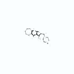 CN1CCN(C(=O)c2sc3nc4c(c(C(F)(F)F)c3c2N)CCCCC4)CC1